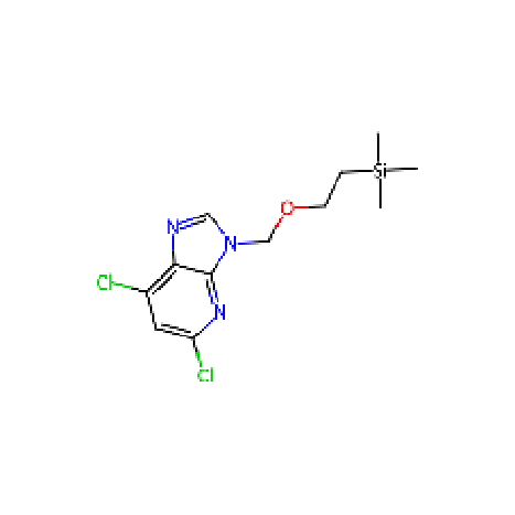 C[Si](C)(C)CCOCn1cnc2c(Cl)cc(Cl)nc21